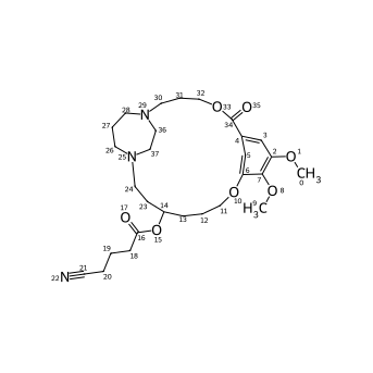 COc1cc2cc(c1OC)OCCCC(OC(=O)CCCC#N)CCN1CCCN(CCCOC2=O)CC1